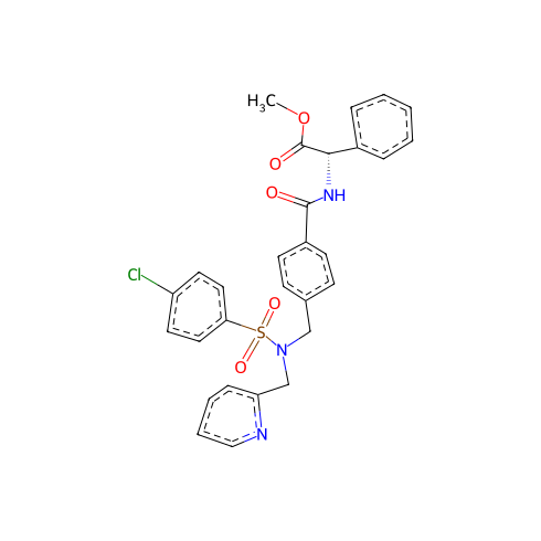 COC(=O)[C@@H](NC(=O)c1ccc(CN(Cc2ccccn2)S(=O)(=O)c2ccc(Cl)cc2)cc1)c1ccccc1